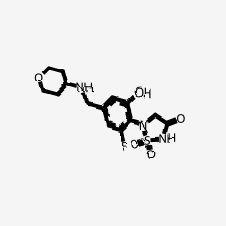 O=C1CN(c2c(O)cc(CNC3CCOCC3)cc2F)S(=O)(=O)N1